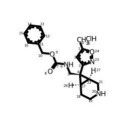 Cc1cc([C@@]2(CNC(=O)OCc3ccccc3)[C@@H]3CCNC[C@@H]32)no1.Cl